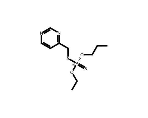 CCCO[P@](=S)(OCC)SCc1ccncn1